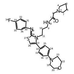 O=C(CN1CCCC1)NCCCn1c(-c2ccc(N3CCOCC3)cc2)csc1=Nc1ccc(F)cc1